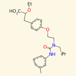 CCOC(Cc1ccc(OCCN(CC(C)C)C(=O)Nc2cccc(C)c2)cc1)C(=O)O